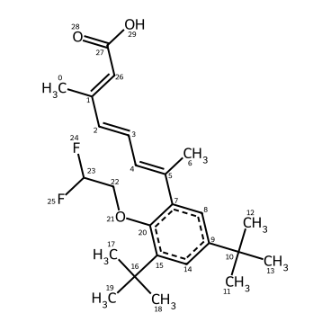 CC(C=CC=C(C)c1cc(C(C)(C)C)cc(C(C)(C)C)c1OCC(F)F)=CC(=O)O